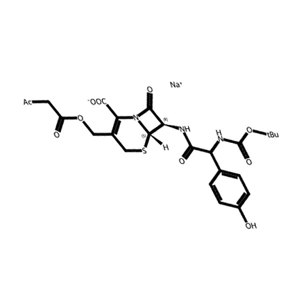 CC(=O)CC(=O)OCC1=C(C(=O)[O-])N2C(=O)[C@@H](NC(=O)C(NC(=O)OC(C)(C)C)c3ccc(O)cc3)[C@@H]2SC1.[Na+]